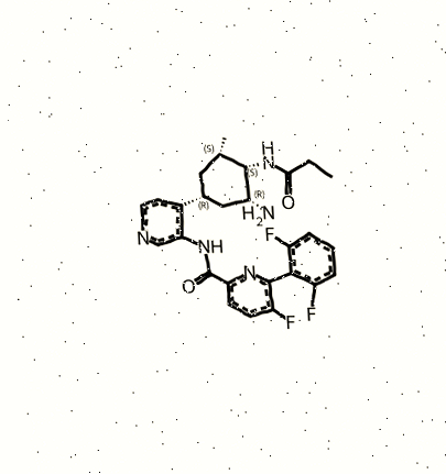 CCC(=O)N[C@@H]1[C@H](N)C[C@H](c2ccncc2NC(=O)c2ccc(F)c(-c3c(F)cccc3F)n2)C[C@@H]1C